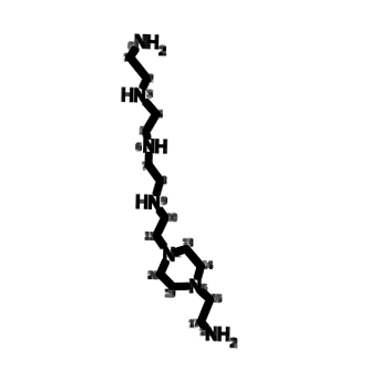 NCCNCCNCCNCCN1CCN(CCN)CC1